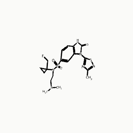 Cc1nsc(-n2c(=O)[nH]c3ccc(S(=O)(=O)N(CCN(C)C)C4(CF)CC4)cc32)n1